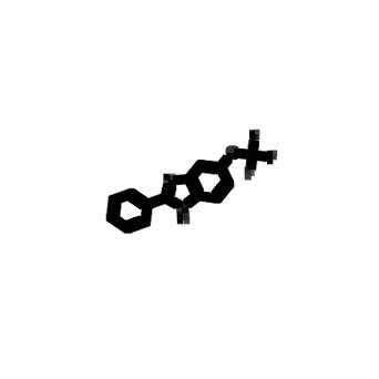 FC(F)(F)Oc1ccc2[nH]c(-c3ccccc3)nc2c1